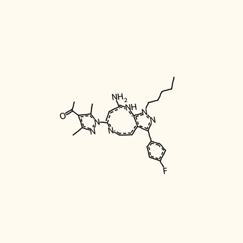 CCCCCn1nc(-c2ccc(F)cc2)c2ccnc(-n3nc(C)c(C(C)=O)c3C)cc(N)[nH]c21